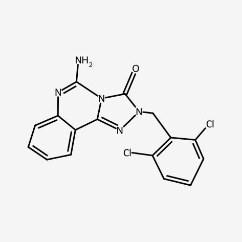 Nc1nc2ccccc2c2nn(Cc3c(Cl)cccc3Cl)c(=O)n12